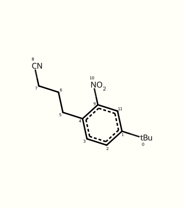 CC(C)(C)c1ccc(CCCC#N)c([N+](=O)[O-])c1